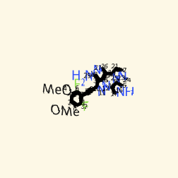 COc1cc(OC)c(F)c(C#Cc2nn([C@H]3CCNC3)c3c(-c4ccn(C)n4)cnc(N)c23)c1F